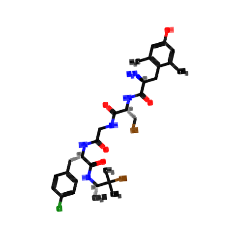 Cc1cc(O)cc(C)c1C[C@H](N)C(=O)N[C@H](CS)C(=O)NCC(=O)N[C@@H](Cc1ccc(Cl)cc1)C(=O)N[C@@H](C(=O)O)C(C)(C)S